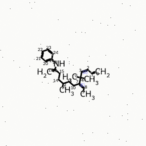 C=C/C=C\C(C)(C)/C(=C/C)CCC(C)CCC(=C)Nc1ccccc1